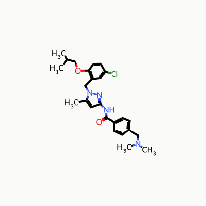 Cc1cc(NC(=O)c2ccc(CN(C)C)cc2)nn1Cc1cc(Cl)ccc1OCC(C)C